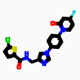 O=C(NCc1cn(-c2ccc(-n3ccc(F)cc3=O)cc2)cn1)c1ccc(Cl)s1